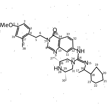 COc1ccc(CCn2cnc3cc(N/C(=N/C(C)C4CCCCC4)N4C[C@@H](C)N[C@@H](C)C4)ccc3c2=O)c(F)c1